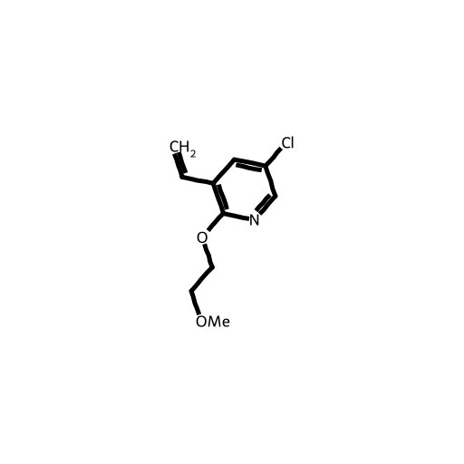 C=Cc1cc(Cl)cnc1OCCOC